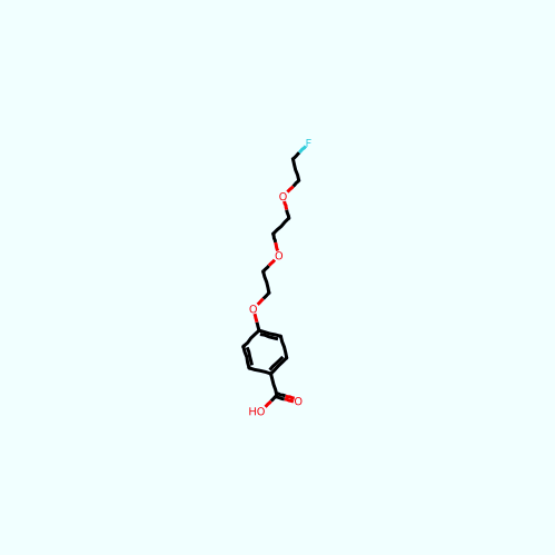 O=C(O)c1ccc(OCCOCCOCCF)cc1